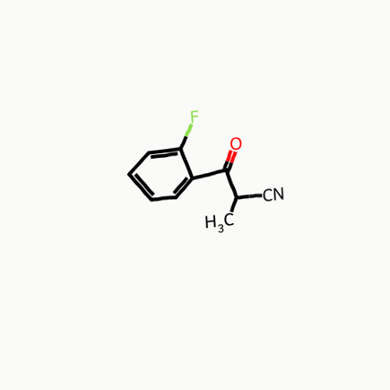 CC(C#N)C(=O)c1ccccc1F